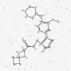 CCc1nc(-c2nnn(C)c2COC(=O)N2CC3(CCC3)C2)ccc1OC1CCCCC1